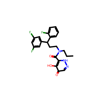 CCCN(CCC(c1cc(F)cc(F)c1)c1ccccc1F)C(=O)c1[nH]ncc(=O)c1O